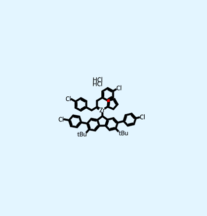 CC(C)(C)c1cc2c(cc1-c1ccc(Cl)cc1)[CH]([Zr]([C]1=CC=CC1)=[C](Cc1ccc(Cl)cc1)Cc1ccc(Cl)cc1)c1cc(-c3ccc(Cl)cc3)c(C(C)(C)C)cc1-2.Cl.Cl